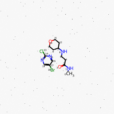 CNC(=O)CCNC1CCOCC1.Clc1ncc(Br)cn1